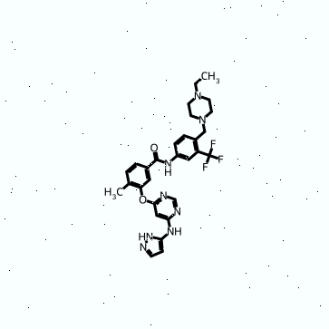 CCN1CCN(Cc2ccc(NC(=O)c3ccc(C)c(Oc4cc(Nc5ccn[nH]5)ncn4)c3)cc2C(F)(F)F)CC1